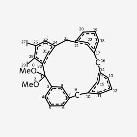 COC1(OC)c2cccc(c2)Cc2cccc(c2)Cc2cccc(c2)Cc2cc(I)c(I)c1c2